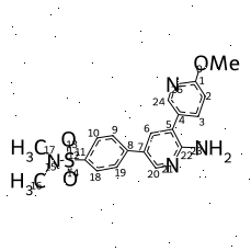 COc1ccc(-c2cc(-c3ccc(S(=O)(=O)N(C)C)cc3)cnc2N)cn1